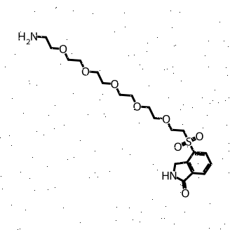 NCCOCCOCCOCCOCCOCCS(=O)(=O)c1cccc2c1CNC2=O